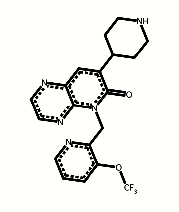 O=c1c(C2CCNCC2)cc2nccnc2n1Cc1ncccc1OC(F)(F)F